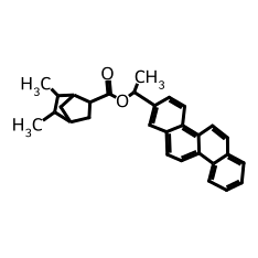 CC(OC(=O)C1CC2CC1C(C)C2C)c1ccc2c(ccc3c4ccccc4ccc23)c1